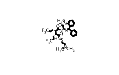 CN(C)CCSNC(=O)[C@H](CCC(F)(F)F)[C@H](CCC(F)(F)F)C(=O)N[C@H]1N=C(c2ccccc2)c2ccccc2N(C)C1=O